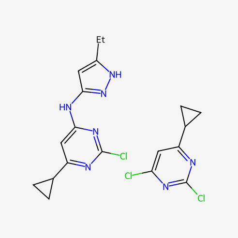 CCc1cc(Nc2cc(C3CC3)nc(Cl)n2)n[nH]1.Clc1cc(C2CC2)nc(Cl)n1